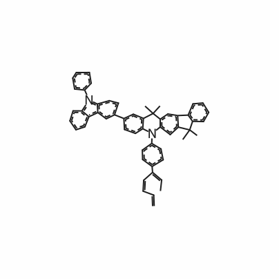 C=C/C=C\C(=C/C)c1ccc(N2c3ccc(-c4ccc5c(c4)c4ccccc4n5-c4ccccc4)cc3C(C)(C)c3cc4c(cc32)C(C)(C)c2ccccc2-4)cc1